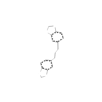 c1cc2c(cc1CCCc1ccc3c(c1)OCO3)OCO2